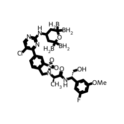 BC1(B)CC(Nc2ncc(Cl)c(-c3ccc4c(c3)S(=O)(=O)N([C@H](C)C(=O)N[C@H](CO)c3cc(F)cc(OC)c3)C4)n2)CC(B)(B)O1